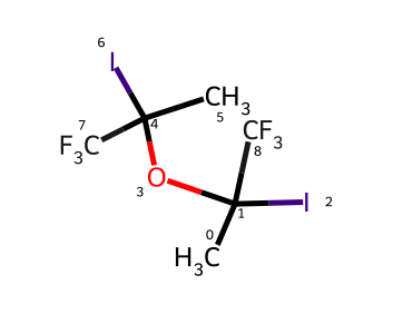 CC(I)(OC(C)(I)C(F)(F)F)C(F)(F)F